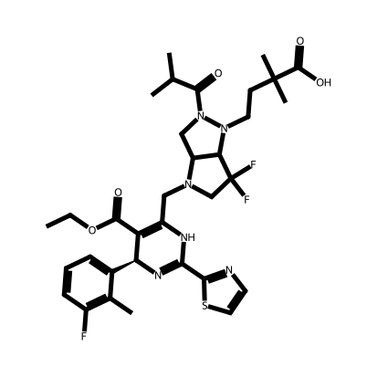 CCOC(=O)C1=C(CN2CC(F)(F)C3C2CN(C(=O)C(C)C)N3CCC(C)(C)C(=O)O)NC(c2nccs2)=N[C@H]1c1cccc(F)c1C